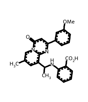 COc1cccc(-c2cc(=O)n3cc(C)cc(C(C)Nc4ccccc4C(=O)O)c3n2)c1